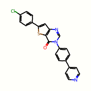 O=c1c2sc(-c3ccc(Cl)cc3)cc2ncn1-c1ccc(-c2ccncc2)cc1